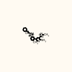 Cc1noc(-c2cc(-c3cc(S(=O)(=O)NCCC4(O)CCCCC4)ccc3C)cnc2N)n1